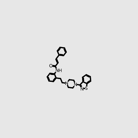 O=C(C=Cc1ccccc1)Nc1ccccc1CCN1CCN(c2nsc3ccccc23)CC1